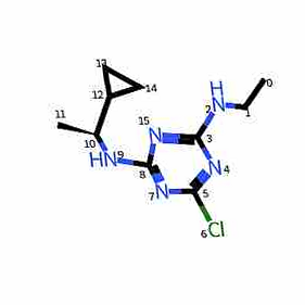 CCNc1nc(Cl)nc(N[C@@H](C)C2CC2)n1